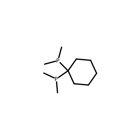 CP(C)C1(P(C)C)CCCCC1